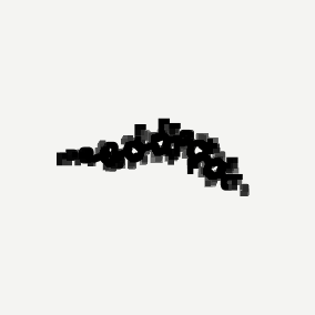 CCCOCC1COC(c2ccc(-c3cc(F)c(C(F)(F)Oc4cc(F)c(-c5ccc(C(F)(F)F)c(F)c5)c(F)c4)c(F)c3)c(F)c2)OC1